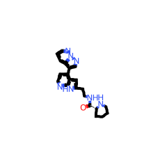 O=C(NCCc1cc2c(-c3cnn4ncccc34)ccnc2[nH]1)[C@H]1CCCCN1